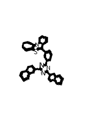 c1cc(-c2nc(-c3ccc4ccccc4c3)nc(-c3ccc4ccccc4c3)n2)cc(-c2c3ccccc3n3c2sc2ccccc23)c1